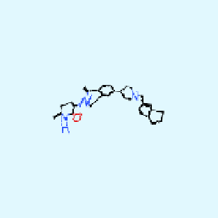 C=C1CCC(N2Cc3cc(C4CCN(Cc5ccc6c(c5)CCC6)CC4)ccc3C2=C)C(=O)N1